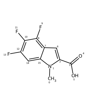 Cn1c(C(=O)O)cc2c(F)c(F)c(F)cc21